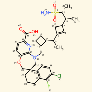 CC(C1=C[C@H]([C@H](C)[C@@H](C)S(N)(=O)=O)C1)[C@@H]1CC[C@H]1CN1C[C@@]2(CCCc3c2ccc(Cl)c3F)COc2ccc(C(=O)O)nc21